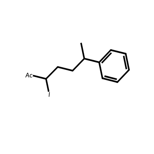 CC(=O)C(I)CCC(C)c1ccccc1